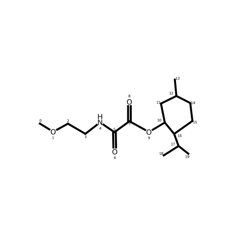 COCCNC(=O)C(=O)OC1CC(C)CCC1C(C)C